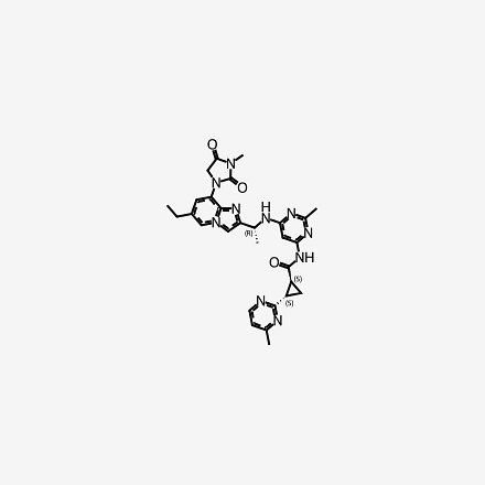 CCc1cc(N2CC(=O)N(C)C2=O)c2nc([C@@H](C)Nc3cc(NC(=O)[C@H]4C[C@@H]4c4nccc(C)n4)nc(C)n3)cn2c1